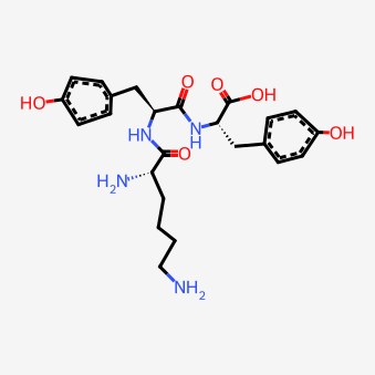 NCCCC[C@H](N)C(=O)N[C@@H](Cc1ccc(O)cc1)C(=O)N[C@@H](Cc1ccc(O)cc1)C(=O)O